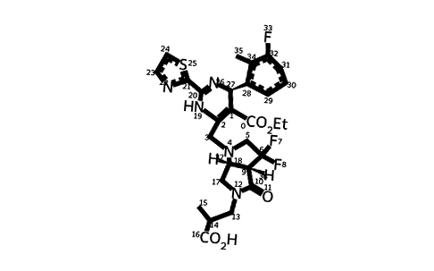 CCOC(=O)C1=C(CN2CC(F)(F)[C@@H]3C(=O)N(CC(C)C(=O)O)C[C@@H]32)NC(c2nccs2)=N[C@H]1c1cccc(F)c1C